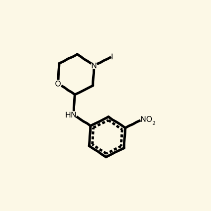 O=[N+]([O-])c1cccc(NC2CN(I)CCO2)c1